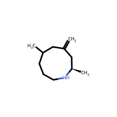 C=C1CC(C)CCCN[C@H](C)C1